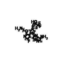 NCCOc1ncc(F)cc1[C@H]1C[C@H](F)CN1c1ccn2ncc(N)c2n1.O=C(O)C(F)(F)F